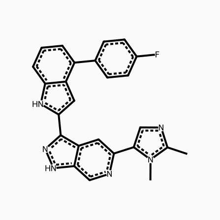 Cc1ncc(-c2cc3c(-c4cc5c(-c6ccc(F)cc6)cccc5[nH]4)n[nH]c3cn2)n1C